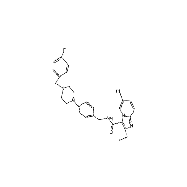 CCc1nc2ccc(Cl)cn2c1C(=O)NCc1ccc(N2CCN(Cc3ccc(F)cc3)CC2)cc1